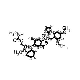 CNC(=O)OCCN(C)c1ccccc1Nc1cc(F)c(S(=O)(=O)N(Cc2ccc(OC)cc2OC)c2nccs2)cc1Cl